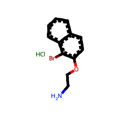 Cl.NCCOc1ccc2ccccc2c1Br